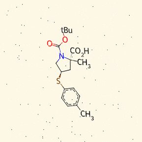 Cc1ccc(S[C@H]2CN(C(=O)OC(C)(C)C)[C@](C)(C(=O)O)C2)cc1